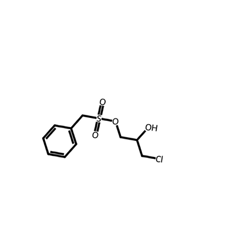 O=S(=O)(Cc1ccccc1)OCC(O)CCl